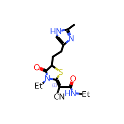 CCNC(=O)/C(C#N)=C1\SC(CCc2c[nH]c(C)n2)C(=O)N1CC